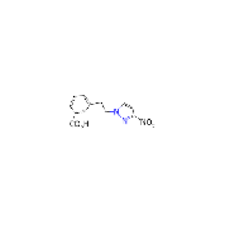 O=C(O)c1cccc(CCn2ccc([N+](=O)[O-])n2)c1